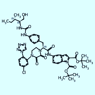 CC[C@H](C)[C@@H](CO)NC(=O)Nc1ccc(C[C@@H](C(=O)Nc2ccc3c(c2)cc(C(=O)OC(C)(C)C)n3C(=O)OC(C)(C)C)N2CCN(c3cc(Cl)ccc3-n3cnnn3)C(=O)C2=O)cc1